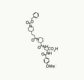 COc1ccc(C(=O)NC(CNC(=O)[C@@H]2CCCN(C(=O)CCC3CCN(C(=O)OCc4ccccc4)CC3)C2)C(=O)O)cc1